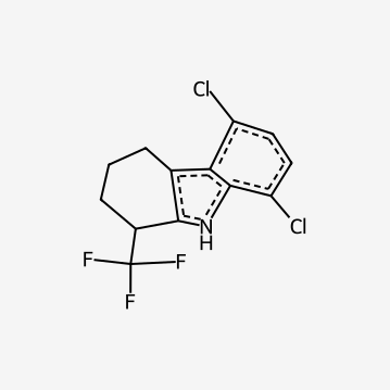 FC(F)(F)C1CCCc2c1[nH]c1c(Cl)ccc(Cl)c21